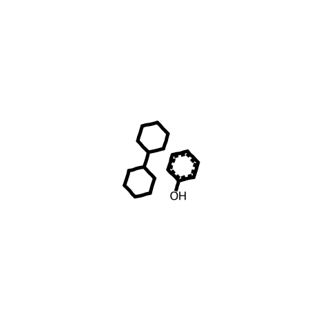 C1CCC(C2CCCCC2)CC1.Oc1ccccc1